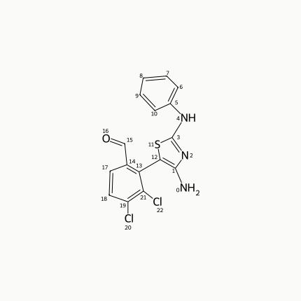 Nc1nc(Nc2ccccc2)sc1-c1c(C=O)ccc(Cl)c1Cl